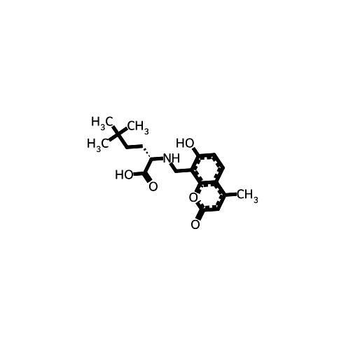 Cc1cc(=O)oc2c(CN[C@@H](CCC(C)(C)C)C(=O)O)c(O)ccc12